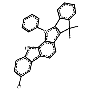 CC1(C)c2ccccc2-c2c1c1ccc3c4cc(Cl)ccc4[nH]c3c1n2-c1ccccc1